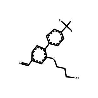 O=Cc1ccc(-c2ccc(C(F)(F)F)cc2)c(OCCCO)c1